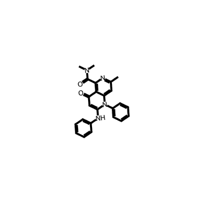 Cc1cc2c(c(C(=O)N(C)C)n1)c(=O)cc(Nc1ccccc1)n2-c1ccccc1